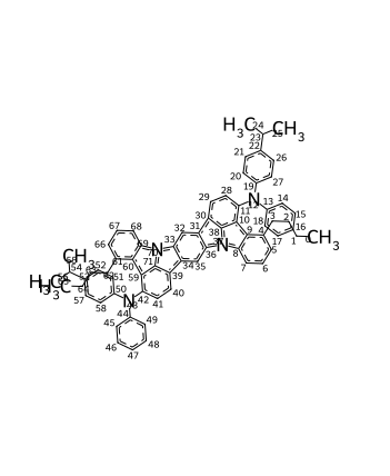 CCCCc1cccc2c1c1c(N(c3ccccc3)c3ccc(C(C)C)cc3)ccc3c4cc5c(cc4n2c31)c1ccc(N(c2ccccc2)c2ccc(C(C)C)cc2)c2c3c(CCCC)cccc3n5c12